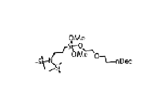 CCCCCCCCCCCCOCCO[Si](CCCN([Si](C)(C)C)[Si](C)(C)C)(OC)OC